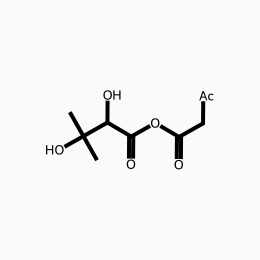 CC(=O)CC(=O)OC(=O)C(O)C(C)(C)O